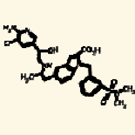 CC(Cc1ccc2c(c1)cc(C(=O)O)n2Cc1cccc(S(=O)(=O)N(C)C)c1)NCC(O)c1cnc(N)c(Cl)c1